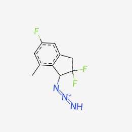 Cc1cc(F)cc2c1C(N=[N+]=N)C(F)(F)C2